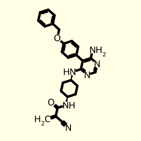 C=C(C#N)C(=O)N[C@H]1CC[C@@H](Nc2ncnc(N)c2-c2ccc(OCc3ccccc3)cc2)CC1